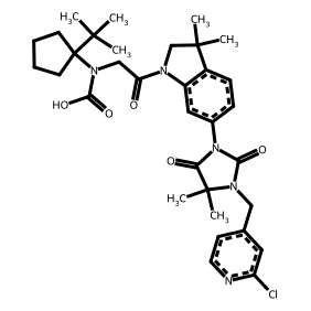 CC1(C)CN(C(=O)CN(C(=O)O)C2(C(C)(C)C)CCCC2)c2cc(N3C(=O)N(Cc4ccnc(Cl)c4)C(C)(C)C3=O)ccc21